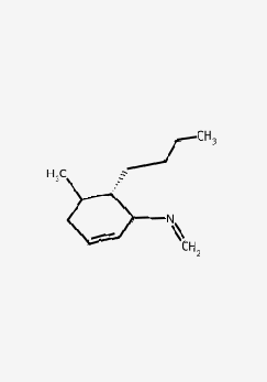 C=NC1C=CCC(C)[C@@H]1CCCC